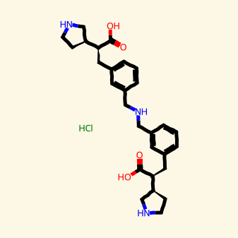 Cl.O=C(O)[C@@H](Cc1cccc(CNCc2cccc(C[C@H](C(=O)O)[C@H]3CCNC3)c2)c1)[C@H]1CCNC1